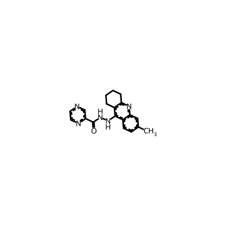 Cc1ccc2c(NNC(=O)c3cnccn3)c3c(nc2c1)CCCC3